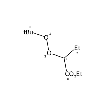 CCOC(=O)C(CC)OOC(C)(C)C